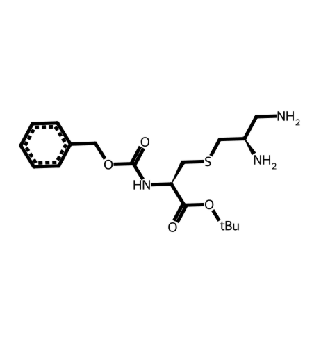 CC(C)(C)OC(=O)[C@H](CSC[C@H](N)CN)NC(=O)OCc1ccccc1